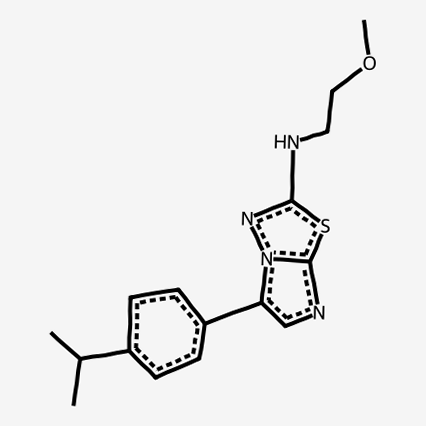 COCCNc1nn2c(-c3ccc(C(C)C)cc3)cnc2s1